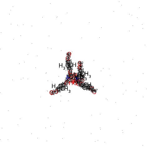 CC(OCC(C)C(C)(C)N(CC(O)COc1ccc(C(C)(C)c2ccc(OCC3CO3)cc2)cc1)CC(O)COc1ccc(C(C)(C)c2ccc(OCC3CO3)cc2)cc1)C(C)N(CC(O)COc1ccc(C(C)(C)c2ccc(OCC3CO3)cc2)cc1)CC(O)COc1ccc(C(C)(C)c2ccc(OCC3CO3)cc2)cc1